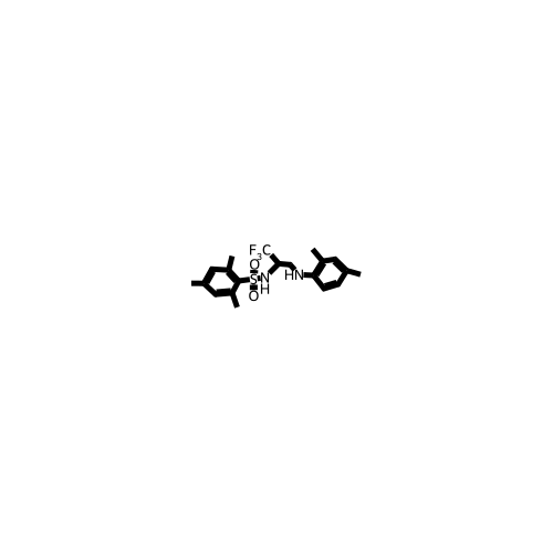 Cc1ccc(NCC(NS(=O)(=O)c2c(C)cc(C)cc2C)C(F)(F)F)c(C)c1